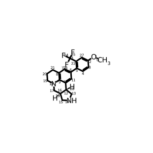 COc1ccc(-c2cc3c4c(c2)[C@@H]2CNC[C@H]2CN4CCC3)c(C(F)(F)F)c1